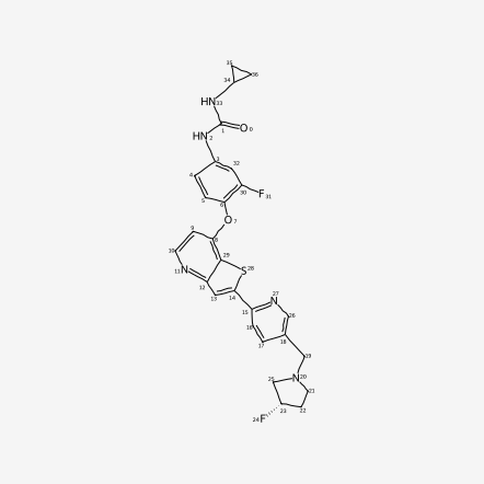 O=C(Nc1ccc(Oc2ccnc3cc(-c4ccc(CN5CC[C@H](F)C5)cn4)sc23)c(F)c1)NC1CC1